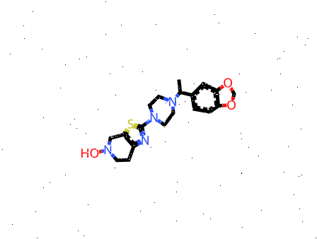 CC(c1ccc2c(c1)OCO2)N1CCN(c2nc3c(s2)CN(O)CC3)CC1